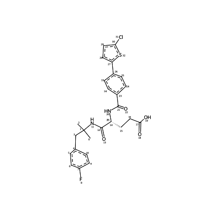 CC(C)(Cc1ccc(F)cc1)NC(=O)[C@@H](CCC(=O)O)NC(=O)c1ccc(-c2ccc(Cl)s2)cc1